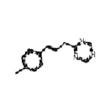 Cc1ccc(C=CCc2ncncn2)cc1